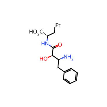 CC(C)C[C@H](NC(=O)[C@H](O)[C@@H](N)Cc1ccccc1)C(=O)O